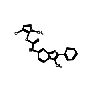 Cc1c(-c2ccccc2)nc2cc(NC(=O)Oc3c(Cl)cnn3C)ccn12